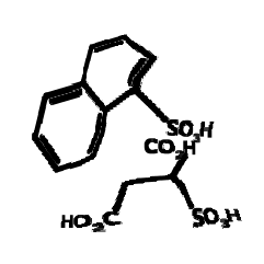 O=C(O)CC(C(=O)O)S(=O)(=O)O.O=S(=O)(O)c1cccc2ccccc12